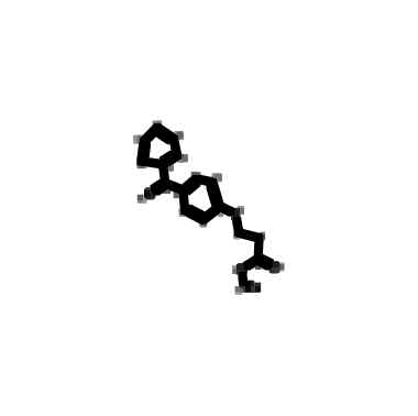 CCCCOC(=O)CCSc1ccc(C(=O)c2ccccc2)cc1